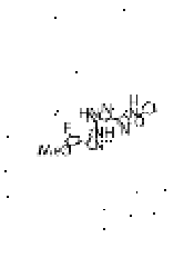 COc1cc(F)cc(-c2ccnc3[nH]c(-c4n[nH]c5ncc(-c6cncc(NC(=O)C7CCCCC7)c6)cc45)cc23)c1